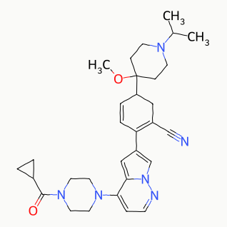 COC1(C2C=CC(c3cc4c(N5CCN(C(=O)C6CC6)CC5)ccnn4c3)=C(C#N)C2)CCN(C(C)C)CC1